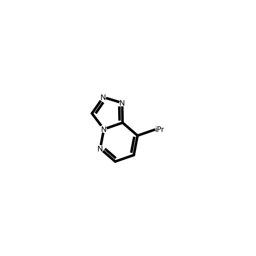 CC(C)c1ccnn2cnnc12